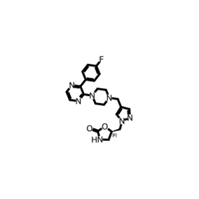 O=C1NC[C@H](Cn2cc(CN3CCN(c4nccnc4-c4ccc(F)cc4)CC3)cn2)O1